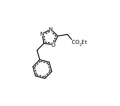 CCOC(=O)Cc1nnc(Cc2ccccc2)o1